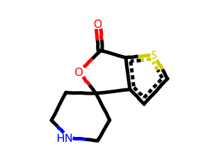 O=C1OC2(CCNCC2)c2ccsc21